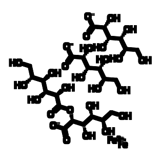 O=C(O[C@@H](C(=O)[O-])[C@@H](O)[C@H](O)[C@H](O)CO)[C@H](O)[C@@H](O)[C@H](O)[C@H](O)CO.O=C([O-])[C@H](O)[C@@H](O)[C@H](O)[C@H](O)CO.O=C([O-])[C@H](O)[C@@H](O)[C@H](O)[C@H](O)CO.[Fe+3].[Fe]